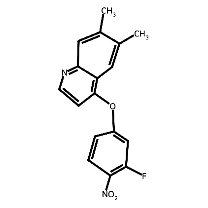 Cc1cc2nccc(Oc3ccc([N+](=O)[O-])c(F)c3)c2cc1C